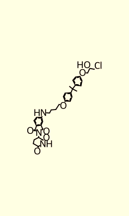 CC(C)(c1ccc(OCCCCNc2ccc3c(c2)C(=O)N(C2CCC(=O)NC2=O)C3=O)cc1)c1ccc(OCC(O)CCl)cc1